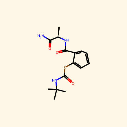 C[C@@H](NC(=O)c1ccccc1SC(=O)NC(C)(C)C)C(N)=O